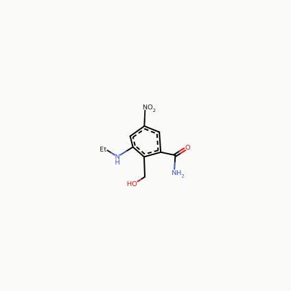 CCNc1cc([N+](=O)[O-])cc(C(N)=O)c1CO